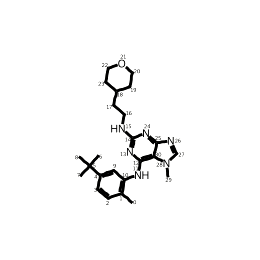 Cc1ccc(C(C)(C)C)cc1Nc1nc(NCCC2CCOCC2)nc2ncn(C)c12